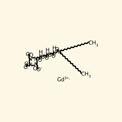 CCCCCCCCCCCCCCCCCCN(CCCCCCCCCCCCCCCCCC)C(=O)CNC(=O)CONC(=O)CONC(=O)CN1CCN(CC(=O)[O-])CCN(CC(=O)[O-])CCN(CC(=O)[O-])CC1.[Gd+3]